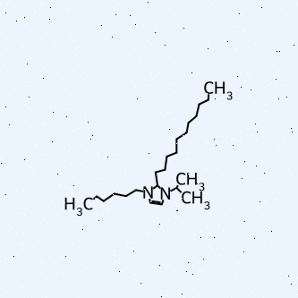 CCCCCCCCCCCC1N(CCCCCC)C=CN1C(C)C